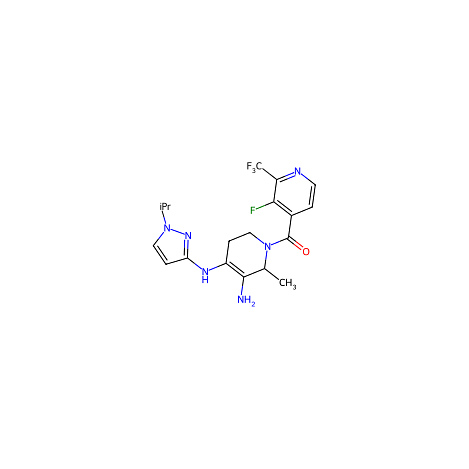 CC1C(N)=C(Nc2ccn(C(C)C)n2)CCN1C(=O)c1ccnc(C(F)(F)F)c1F